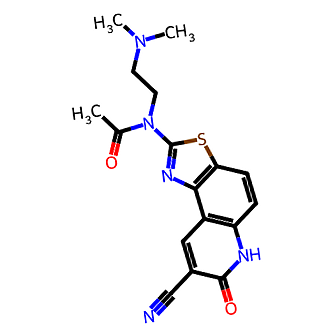 CC(=O)N(CCN(C)C)c1nc2c(ccc3[nH]c(=O)c(C#N)cc32)s1